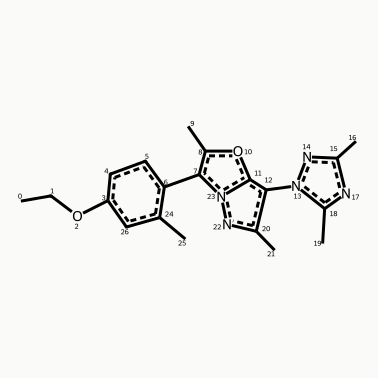 CCOc1ccc(-c2c(C)oc3c(-n4nc(C)nc4C)c(C)nn23)c(C)c1